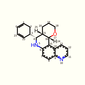 C1=CCC([C@H]2Nc3ccc4ncccc4c3[C@H]3OCCC[C@H]32)C=C1